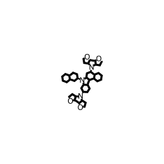 c1ccc2cc(-n3c4cc(-n5c6ccoc6c6occc65)ccc4c4c5ccccc5c(-n5c6ccoc6c6occc65)cc43)ccc2c1